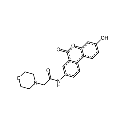 O=C(CN1CCOCC1)Nc1ccc2c(c1)c(=O)oc1cc(O)ccc12